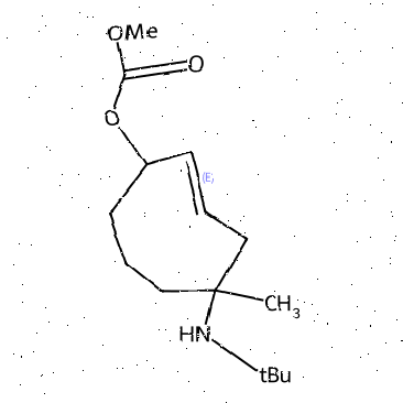 COC(=O)OC1/C=C/CC(C)(NC(C)(C)C)CCC1